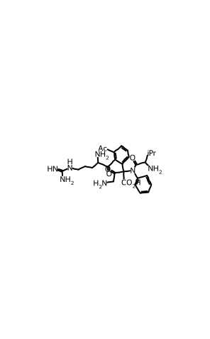 CC(=O)c1cccc(C(C(=O)O)(C(=O)CN)N(C(=O)C(N)C(C)C)c2ccccc2)c1C(=O)C(N)CCCNC(=N)N